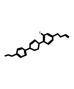 C=CCCc1ccc(C2C=CC(c3ccc(CCC)cc3)CC2)c(F)c1